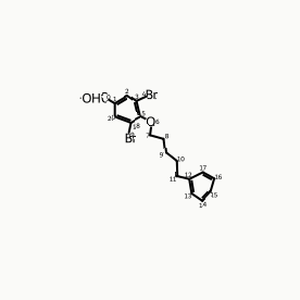 O=[C]c1cc(Br)c(OCCCCCc2ccccc2)c(Br)c1